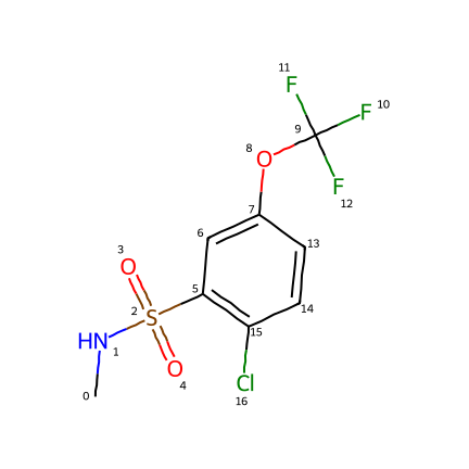 CNS(=O)(=O)c1cc(OC(F)(F)F)ccc1Cl